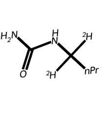 [2H]C([2H])(CCC)NC(N)=O